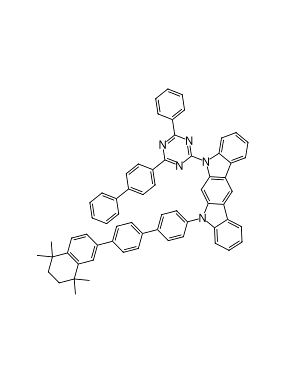 CC1(C)CCC(C)(C)c2cc(-c3ccc(-c4ccc(-n5c6ccccc6c6cc7c8ccccc8n(-c8nc(-c9ccccc9)nc(-c9ccc(-c%10ccccc%10)cc9)n8)c7cc65)cc4)cc3)ccc21